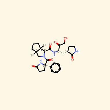 O=C1CC[C@@](C(=O)N2C[C@@H]3CCC[C@@H]3[C@H]2C(=O)N[C@@H](C[C@@H]2CCNC2=O)C(=O)CO)(c2ccccc2)N1